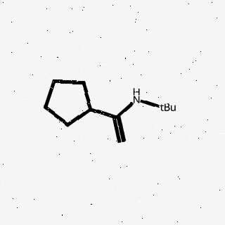 C=C(NC(C)(C)C)C1CCCC1